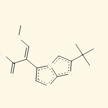 COC=C(C(=O)O)c1csc2nc(C(C)(C)C)cn12